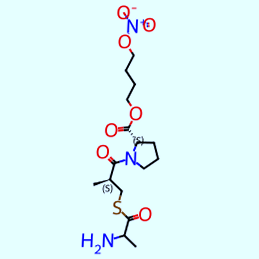 CC(N)C(=O)SC[C@@H](C)C(=O)N1CCC[C@H]1C(=O)OCCCCO[N+](=O)[O-]